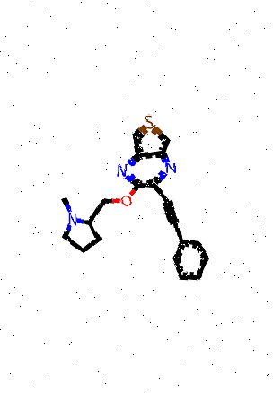 CN1CCCC1COc1nc2cscc2nc1C#Cc1ccccc1